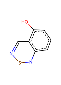 Oc1cccc2c1C=NSN2